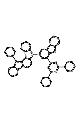 c1ccc(-c2nc(-c3ccccc3)nc(-c3cc(-n4c5ccccc5c5c4ccc4c6ccccc6n(-c6ccccc6)c45)cc4c3sc3ccccc34)n2)cc1